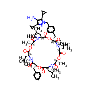 CC(C)C[C@H]1C(=O)O[C@H](Cc2ccc(Cn3nc(C4CC4)c(N)c3C3CC3)cc2)C(=O)N(C)[C@@H](CC(C)C)C(=O)O[C@H](C)C(=O)N(C)[C@@H](CC(C)C)C(=O)O[C@H](Cc2ccccc2)C(=O)N(C)[C@@H](CC(C)C)C(=O)O[C@H](C)C(=O)N1C